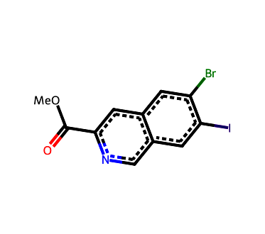 COC(=O)c1cc2cc(Br)c(I)cc2cn1